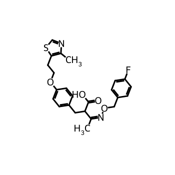 CC(=NOCc1ccc(F)cc1)C(Cc1ccc(OCCc2scnc2C)cc1)C(=O)O